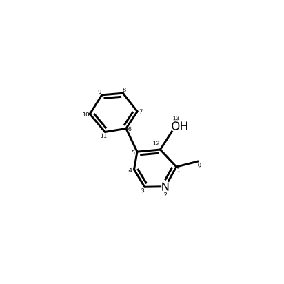 Cc1nccc(-c2ccccc2)c1O